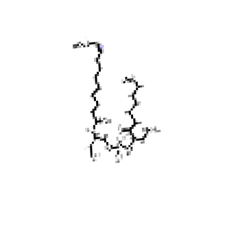 CCCCCCCC/C=C\CCCCCCCC(=O)O[C@H](CO)COP(=O)(O)OC(CN)C(=O)CCCCCCCCCCCCCCC